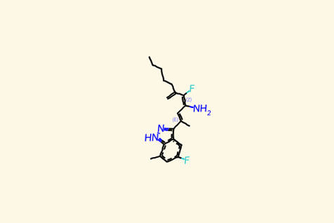 C=C(CCCCC)/C(F)=C(N)\C=C(/C)c1n[nH]c2c(C)cc(F)cc12